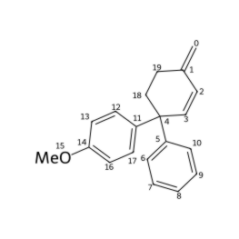 C=C1C=CC(c2ccccc2)(c2ccc(OC)cc2)CC1